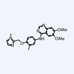 COc1cc2ncnc(Nc3ccc(OCc4nccn4C)c(C)c3)c2cc1OC